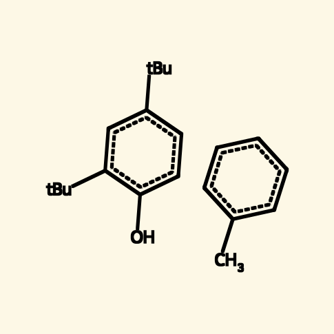 CC(C)(C)c1ccc(O)c(C(C)(C)C)c1.Cc1ccccc1